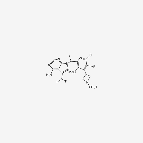 COc1c(C(C)n2nc(C(F)F)c3c(N)ncnc32)cc(Cl)c(F)c1C1CN(C(=O)O)C1